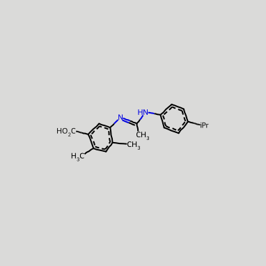 C/C(=N\c1cc(C(=O)O)c(C)cc1C)Nc1ccc(C(C)C)cc1